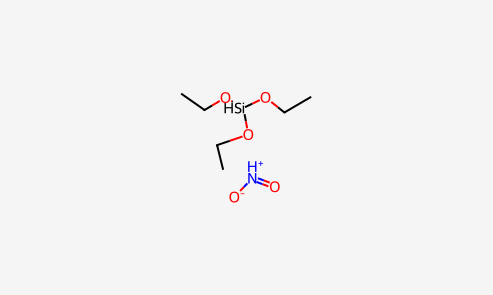 CCO[SiH](OCC)OCC.O=[NH+][O-]